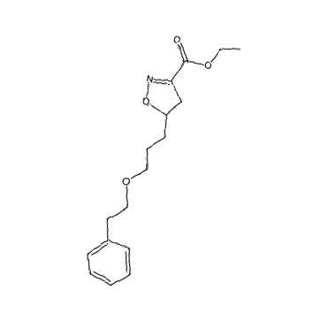 CCOC(=O)C1=NOC(CCCOCCc2ccccc2)C1